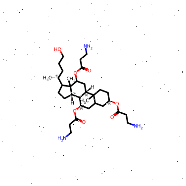 C[C@H](CCCO)C1CC[C@H]2C3[C@H](OC(=O)CCN)CC4C[C@H](OC(=O)CCN)CCC4(C)[C@H]3CC(OC(=O)CCN)C12C